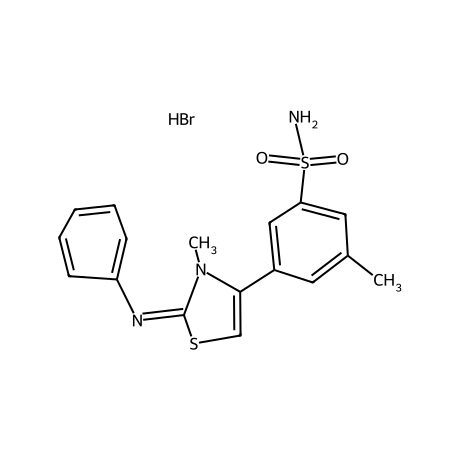 Br.Cc1cc(-c2cs/c(=N/c3ccccc3)n2C)cc(S(N)(=O)=O)c1